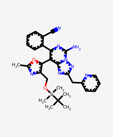 Cc1nc(CO[Si](C)(C)C(C)(C)C)c(-c2c(-c3ccccc3C#N)nc(N)n3nc(Cc4ccccn4)nc23)o1